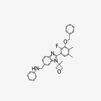 Cc1cc(-c2nc3ccc(CNc4ccccc4)cc3n2C2(C)COC2)c(F)c(OCc2ccccc2)c1C